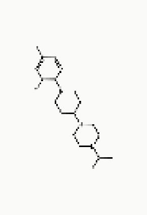 Cc1ccc(N2CCC(N3CCN(C(C)C)CC3)CC2)c(F)c1